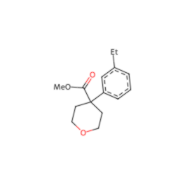 CCc1cccc(C2(C(=O)OC)CCOCC2)c1